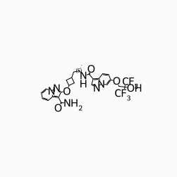 C[C@@H](CC1CC(Oc2nn3ccccc3c2C(N)=O)C1)NC(=O)c1cnn2cc(OCC(O)(C(F)(F)F)C(F)(F)F)ccc12